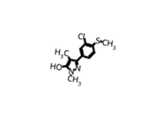 CSc1ccc(-c2nn(C)c(O)c2C)cc1Cl